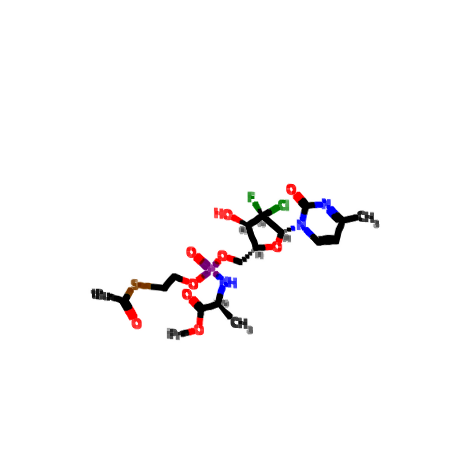 Cc1ccn([C@@H]2O[C@H](COP(=O)(N[C@@H](C)C(=O)OC(C)C)OCCSC(=O)C(C)(C)C)[C@@H](O)[C@]2(F)Cl)c(=O)n1